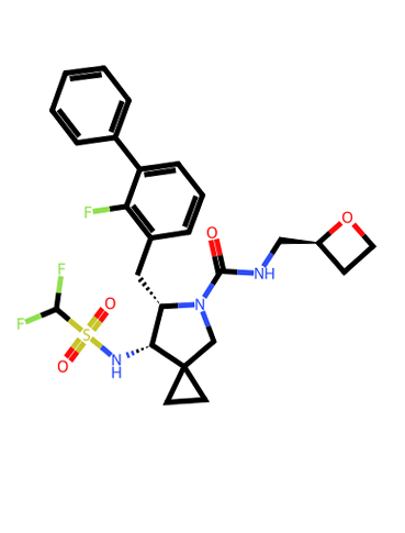 O=C(NC[C@@H]1CCO1)N1CC2(CC2)[C@H](NS(=O)(=O)C(F)F)[C@@H]1Cc1cccc(-c2ccccc2)c1F